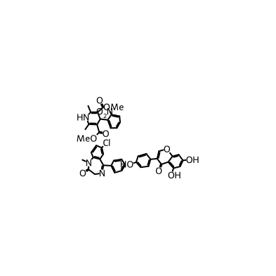 CN1C(=O)CN=C(c2ccccc2)c2cc(Cl)ccc21.COC(=O)C1=C(C)NC(C)=C(C(=O)OC)C1c1ccccc1[N+](=O)[O-].O=c1c(-c2ccc(O)cc2)coc2cc(O)cc(O)c12